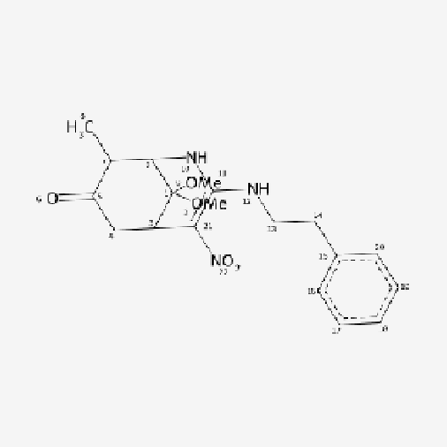 COC1(OC)C2CC(=O)C(C)C1NC(NCCc1ccccc1)=C2[N+](=O)[O-]